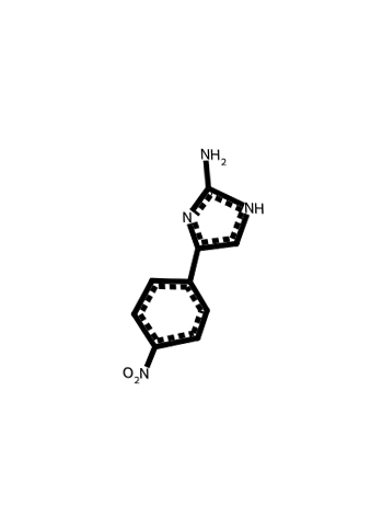 Nc1nc(-c2ccc([N+](=O)[O-])cc2)c[nH]1